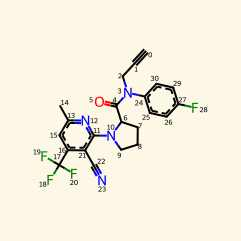 C#CCN(C(=O)C1CCCN1c1nc(C)cc(C(F)(F)F)c1C#N)c1ccc(F)cc1